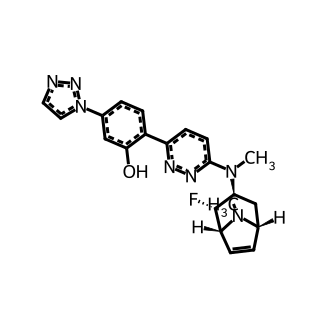 CN(c1ccc(-c2ccc(-n3ccnn3)cc2O)nn1)[C@H]1C[C@@H]2C=C[C@H]([C@@H]1F)N2C